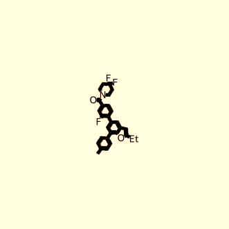 CCc1cc2cc(-c3ccc(C(=O)N4CCC(F)(F)CC4)cc3F)cc(-c3ccc(C)cc3)c2o1